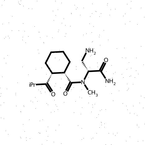 CC(C)C(=O)[C@@H]1CCCC[C@@H]1C(=O)N(C)[C@H](CN)C(N)=O